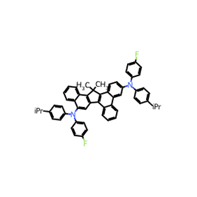 CC(C)c1ccc(N(c2ccc(F)cc2)c2ccc3c4c(c5ccccc5c3c2)-c2cc(N(c3ccc(F)cc3)c3ccc(C(C)C)cc3)c3ccccc3c2C4(C)C)cc1